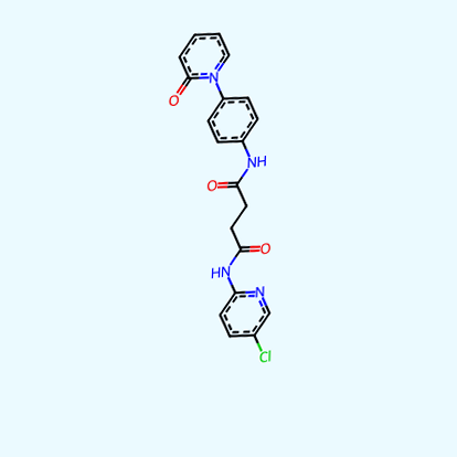 O=C(CCC(=O)Nc1ccc(Cl)cn1)Nc1ccc(-n2ccccc2=O)cc1